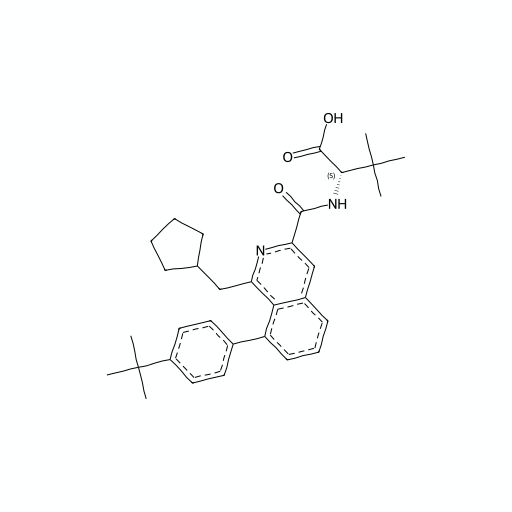 CC(C)(C)c1ccc(-c2cccc3cc(C(=O)N[C@H](C(=O)O)C(C)(C)C)nc(CC4CCCC4)c23)cc1